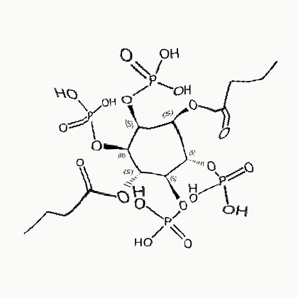 CCCC(=O)O[C@@H]1[C@@H](OP(=O)(O)O)[C@@H](OP(=O)(O)O)[C@@H](OC(=O)CCC)[C@H](OP(=O)(O)O)[C@H]1OP(=O)(O)O